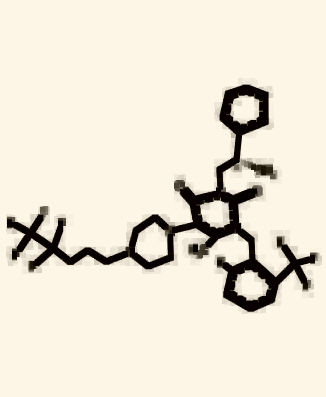 Cc1c(N2CCN(CCCC(F)(F)C(F)(F)F)CC2)c(=O)n(C[C@@H](N)c2ccccc2)c(=O)n1Cc1c(F)cccc1C(F)(F)F